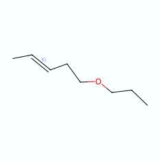 C/C=C/CCOCCC